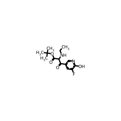 CCNC(C(=O)OC(C)(C)C)C(=O)c1cnc(O)c(F)c1